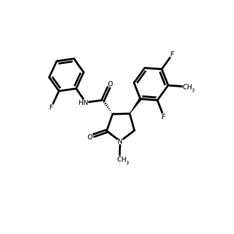 Cc1c(F)ccc([C@H]2CN(C)C(=O)[C@@H]2C(=O)Nc2ccccc2F)c1F